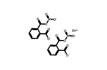 O=C([O-])c1ccccc1C(=O)O[N+](=O)[O-].O=C([O-])c1ccccc1C(=O)O[N+](=O)[O-].[Zn+2]